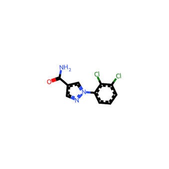 NC(=O)c1cnn(-c2cccc(Cl)c2Cl)c1